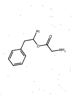 CC(=O)C(Cc1ccccc1)OC(=O)CN